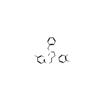 C[C@H](Oc1ccc(Cl)cn1)[C@H]1CN(Cc2ccccc2)C[C@@H]1c1ccc(F)c(F)c1